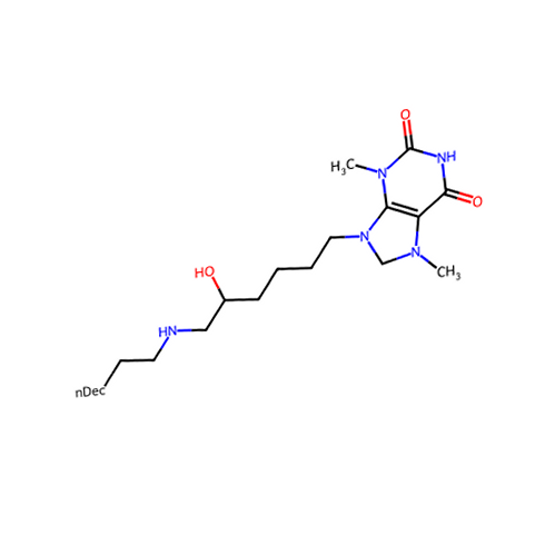 CCCCCCCCCCCCNCC(O)CCCCN1CN(C)c2c1n(C)c(=O)[nH]c2=O